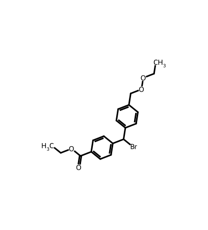 CCOOCc1ccc(C(Br)c2ccc(C(=O)OCC)cc2)cc1